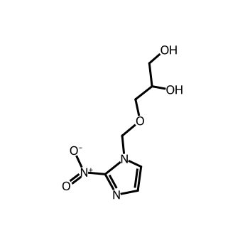 O=[N+]([O-])c1nccn1COCC(O)CO